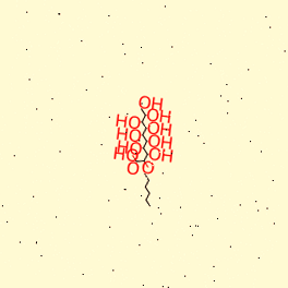 CCCCCCOC(C(=O)O)C(O)C(O)C(O)C(O)C(O)C(O)C(O)CO